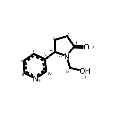 O=C1CCC(c2cccnc2)N1CO